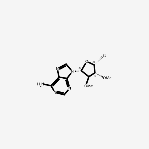 CC[C@H]1O[C@@H](n2cnc3c(N)ncnc32)C(OC)[C@H]1OC